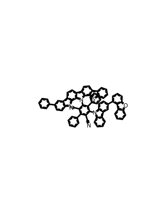 N#Cc1c(-c2ccccc2)c(C#N)c(-n2c3c(ccc4c5ccccc5sc43)c3ccc4c5cc(-c6ccccc6)ccc5sc4c32)c(-c2ccccc2)c1-n1c2ccccc2c2cc(-c3cccc4oc5ccccc5c34)ccc21